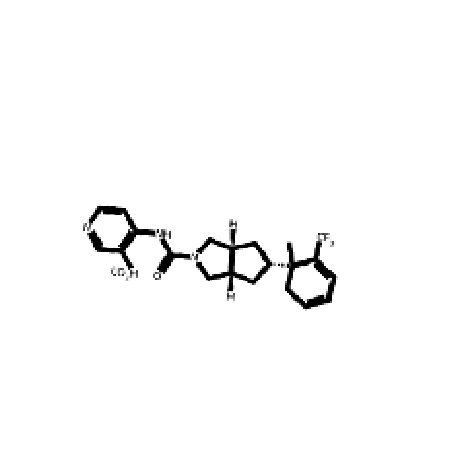 CC1([C@@H]2C[C@@H]3CN(C(=O)Nc4ccncc4C(=O)O)C[C@@H]3C2)CC=CC=C1C(F)(F)F